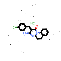 Cl.N=C(N)C(=Cc1ccc(Cl)cc1)C(=O)N1CC=Cc2ccccc21